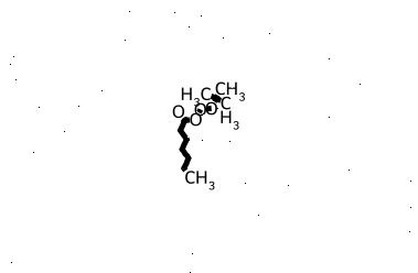 CCCCCCC(=O)OOOC(C)(C)C